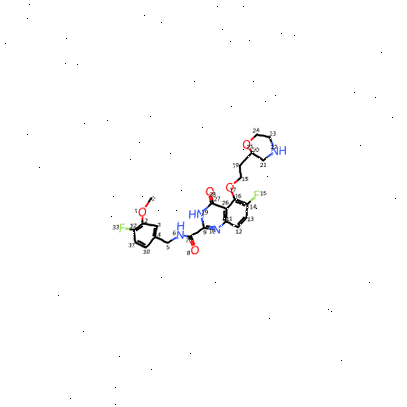 COc1cc(CNC(=O)c2nc3ccc(F)c(OCCC4CNCCO4)c3c(=O)[nH]2)ccc1F